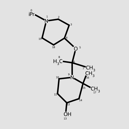 CC(C)N1CCC(OC(C)(C)N2CCC(O)CC2(C)C)CC1